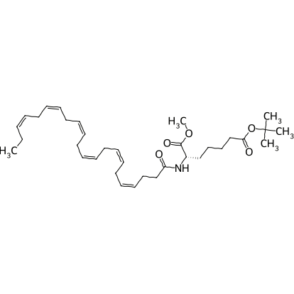 CC/C=C\C/C=C\C/C=C\C/C=C\C/C=C\C/C=C\CCC(=O)N[C@@H](CCCCC(=O)OC(C)(C)C)C(=O)OC